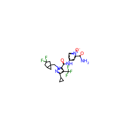 NC(=O)c1cc(NC(=O)c2c(C(F)(F)F)c(C3CC3)nn2CC23CC2CC(F)(F)C3)cc[n+]1[O-]